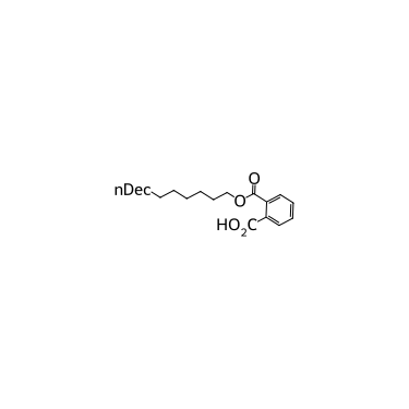 CCCCCCCCCCCCCCCCOC(=O)c1ccccc1C(=O)O